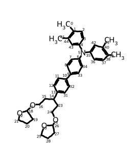 Cc1ccc(N(c2ccc(-c3ccc(C(CCOC4CCCO4)CCOC4CCCO4)cc3)cc2)c2ccc(C)c(C)c2)cc1C